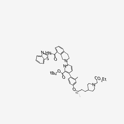 CCOC(=O)CN1CCC(CC[C@H](C)Oc2ccc(-c3ccc(N4CCc5cccc(C(=O)Nc6nc7ccccc7s6)c5C4)nc3C(=O)OC(C)(C)C)c(C)c2)CC1